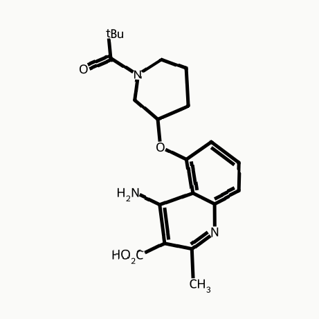 Cc1nc2cccc(OC3CCCN(C(=O)C(C)(C)C)C3)c2c(N)c1C(=O)O